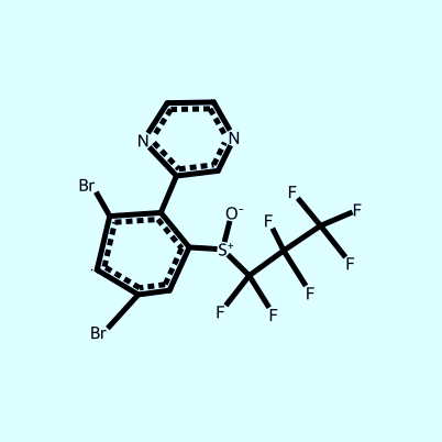 [O-][S+](c1cc(Br)[c]c(Br)c1-c1cnccn1)C(F)(F)C(F)(F)C(F)(F)F